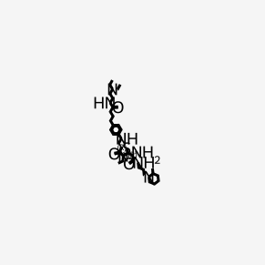 CCN(CC)CCNC(=O)CCCc1ccc(NC[C@H]2SC([C@H](N)C(=O)NCCCN3CCCCC3C)N(CC)C2=O)cc1